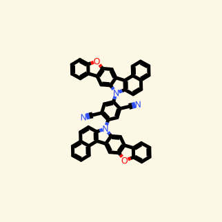 N#Cc1cc(-n2c3cc4c(cc3c3c5ccccc5ccc32)oc2ccccc24)c(C#N)cc1-n1c2cc3c(cc2c2c4ccccc4ccc21)oc1ccccc13